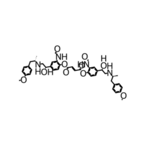 COc1ccc(C[C@H](C)NC[C@@H](O)c2ccc(OC(=O)/C=C/C(=O)Oc3ccc([C@H](O)CN[C@@H](C)Cc4ccc(OC)cc4)cc3NC=O)c(NC=O)c2)cc1